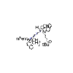 CCCCCN1/C(=C/C=C/C=C/C=C/C2=[N+](CCCCCC(=O)C(C)(C)C)c3ccc4ccccc4c3C2(C)C)C(C)(C)c2c1ccc1ccccc21